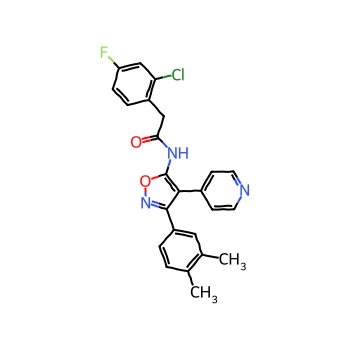 Cc1ccc(-c2noc(NC(=O)Cc3ccc(F)cc3Cl)c2-c2ccncc2)cc1C